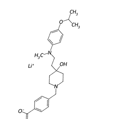 CC(C)Oc1ccc(N(C)CCC2(O)CCN(Cc3ccc(C(=O)[O-])cc3)CC2)cc1.[Li+]